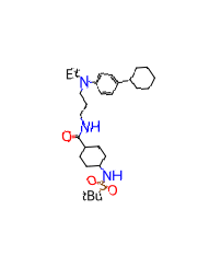 CCN(CCCNC(=O)C1CCC(NS(=O)(=O)C(C)(C)C)CC1)c1ccc(C2CCCCC2)cc1